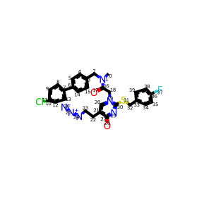 CN(Cc1ccc(-c2ccc(Cl)cc2)cc1)C(=O)Cn1cc(CCN=[N+]=[N-])c(=O)nc1SCc1ccc(F)cc1